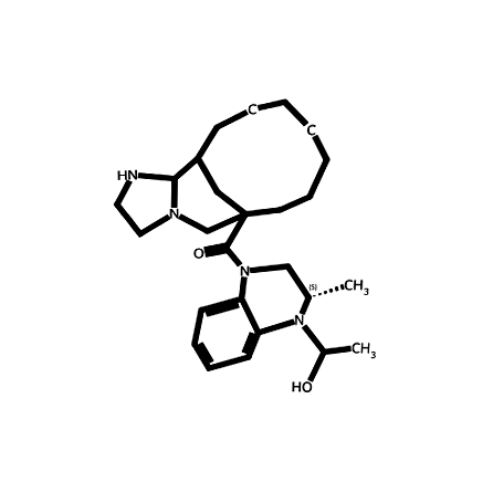 CC(O)N1c2ccccc2N(C(=O)C23CCCCCCCC(C2)C2NCCN2C3)C[C@@H]1C